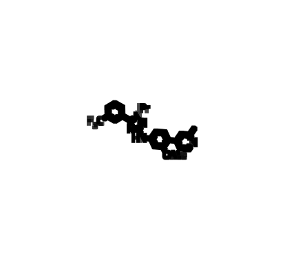 COc1cc(Nc2nc(-c3cccc(C(F)(F)F)c3)n(C(C)C)n2)ccc1-c1ccnc(C)c1